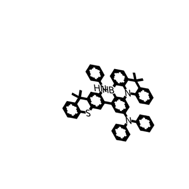 CC1(C)c2ccccc2Sc2cc(-c3cc(N(c4ccccc4)c4ccccc4)cc4c3Bc3cccc5c3N4c3ccccc3C5(C)C)c(Nc3ccccc3)cc21